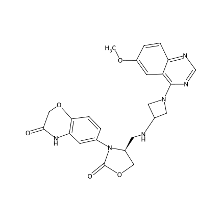 COc1ccc2ncnc(N3CC(NC[C@H]4COC(=O)N4c4ccc5c(c4)NC(=O)CO5)C3)c2c1